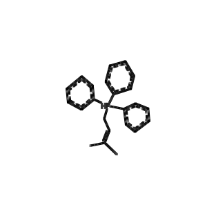 CC(C)=CC[PH](c1ccccc1)(c1ccccc1)c1ccccc1